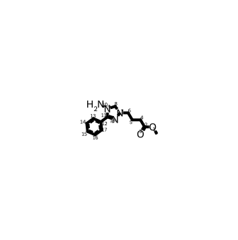 COC(=O)CCCN1CN(N)C(c2ccccc2)=N1